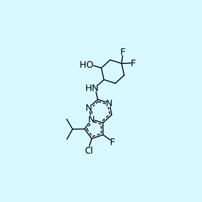 CC(C)c1c(Cl)c(F)c2cnc(NC3CCC(F)(F)CC3O)nn12